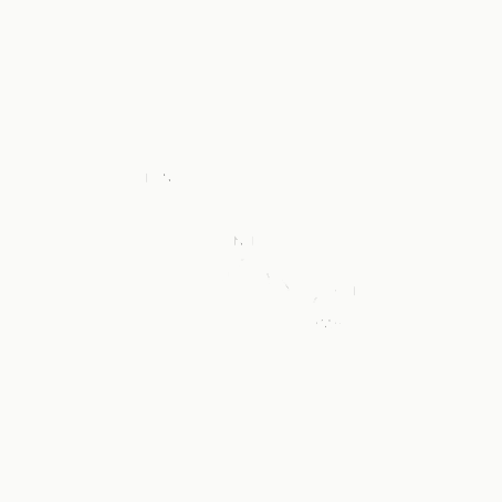 COc1cc(/C=C/C(=O)NCCCCCN)ccc1O